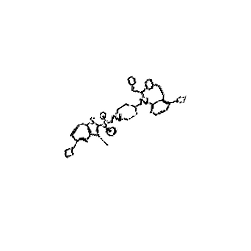 Cc1c(S(=O)(=O)N2CCC(N3c4cccc(Cl)c4COC3C=O)CC2)sc2ccc(Cl)cc12